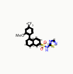 COc1cc(C(F)(F)F)ccc1-c1cccc2cc(S(=O)(=O)Nc3ncns3)ccc12